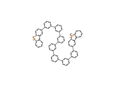 c1cc(-c2cccc(-c3cccc(-c4cccc(-c5ccc6sc7ccccc7c6c5)c4)c3)c2)cc(-c2cccc(-c3cccc(-c4cccc(-c5ccc6sc7ccccc7c6c5)c4)c3)c2)c1